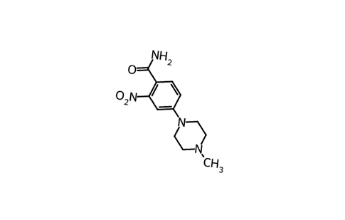 CN1CCN(c2ccc(C(N)=O)c([N+](=O)[O-])c2)CC1